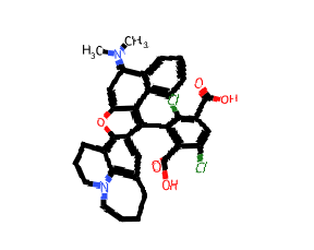 C[N+](C)=c1cc2oc3c4c5c(cc3c(-c3c(Cl)c(C(=O)O)cc(Cl)c3C(=O)O)c-2c2ccccc12)CCCCN5CCC4